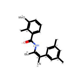 COc1cccc(C(=O)N/C(=C(/C#N)c2cc(C)cc(C)c2)C(C)(C)C)c1C